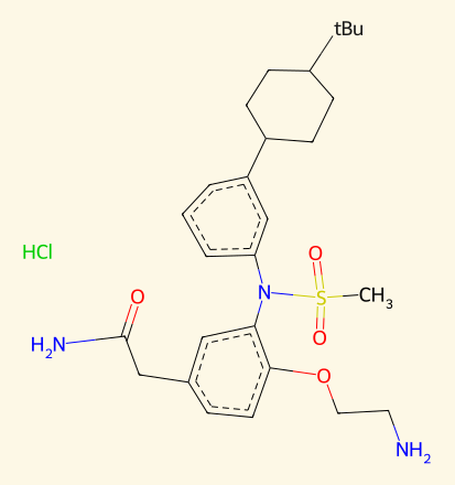 CC(C)(C)C1CCC(c2cccc(N(c3cc(CC(N)=O)ccc3OCCN)S(C)(=O)=O)c2)CC1.Cl